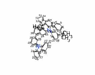 CC1(C)c2ccccc2-c2c(N(c3ccc4c(-c5cccc(-n6c7ccccc7c7ccccc76)c5)cccc4c3)c3cccc4c3C(C)(C)c3ccccc3-4)cccc21